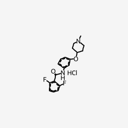 CN1CCC(Oc2cccc(NC(=O)c3c(F)cccc3F)c2)CC1.Cl